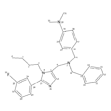 CCCCn1c(CN(Cc2ccccc2)Cc2ccc(N(C)C)cc2)cnc1-c1cccc(F)c1